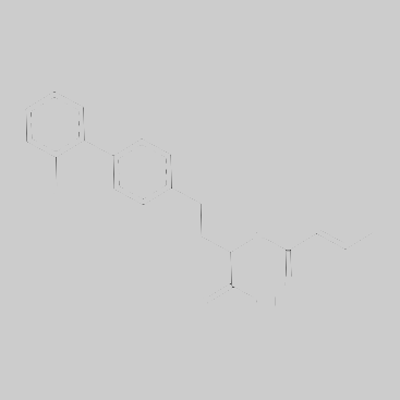 CC=CC(=O)SC(CCc1ccc(-c2ccccc2Cl)cc1)C(=O)O